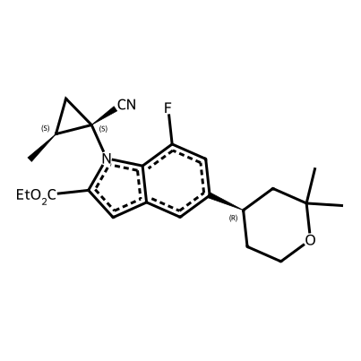 CCOC(=O)c1cc2cc([C@@H]3CCOC(C)(C)C3)cc(F)c2n1[C@@]1(C#N)C[C@@H]1C